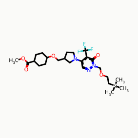 COC(=O)C1CCC(OCC2CCN(c3cnn(COCC[Si](C)(C)C)c(=O)c3C(F)(F)F)C2)CC1